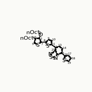 CCCCCCCCOc1c(CCCCCCCC)csc1-c1ccc(-c2ccc(-c3cccs3)c3nsnc23)s1